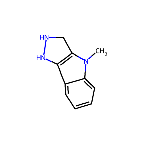 Cn1c2c(c3ccccc31)NNC2